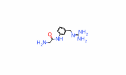 NCC(=O)Nc1cccc(CN=C(N)N)c1